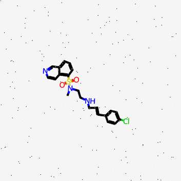 CN(CCNCC=Cc1ccc(Cl)cc1)S(=O)(=O)c1cccc2cnccc12